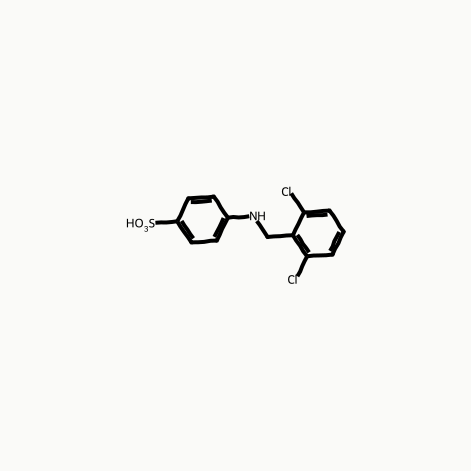 O=S(=O)(O)c1ccc(NCc2c(Cl)cccc2Cl)cc1